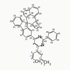 C=C/C=C(\C=C/C)c1cc(-c2ccc3c(c2)C2(c4ccccc4-3)c3ccccc3-c3cccc4cccc2c34)nc(-c2ccccc2)n1